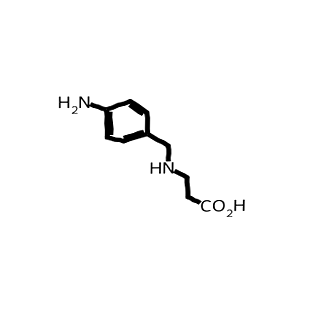 Nc1ccc(CNCCC(=O)O)cc1